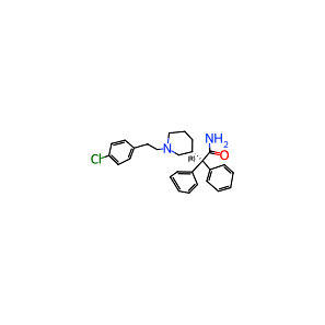 NC(=O)C(c1ccccc1)(c1ccccc1)[C@H]1CCCN(CCc2ccc(Cl)cc2)C1